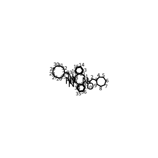 O=C(CC1CCCCCC1)N1Cc2ccccc2-c2c(nnn2CC2CCCCCCCC2)-c2ccccc21